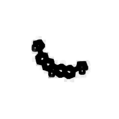 c1coc(-c2ccc3cc4oc5cc6ccc(-c7ccco7)cc6cc5c4cc3c2)c1